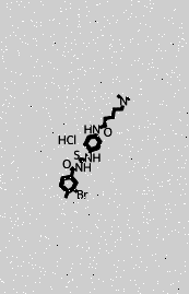 Cc1ccc(C(=O)NC(=S)Nc2ccc(NC(=O)CCCCN(C)C)cc2)cc1Br.Cl